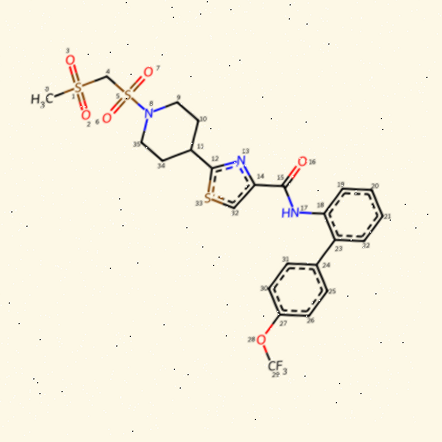 CS(=O)(=O)CS(=O)(=O)N1CCC(c2nc(C(=O)Nc3ccccc3-c3ccc(OC(F)(F)F)cc3)cs2)CC1